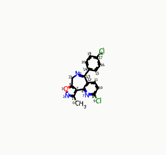 Cc1noc2c1-c1nc(Cl)ccc1C(c1ccc(Cl)cc1)=NC2